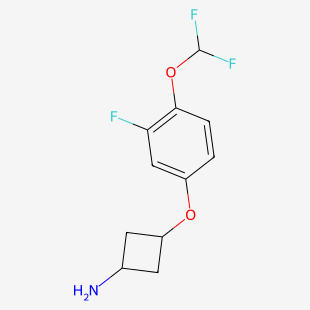 NC1CC(Oc2ccc(OC(F)F)c(F)c2)C1